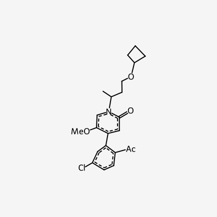 COc1cn(C(C)CCOC2CCC2)c(=O)cc1-c1cc(Cl)ccc1C(C)=O